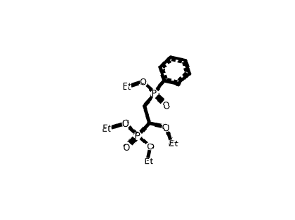 CCOC(CP(=O)(OCC)c1ccccc1)P(=O)(OCC)OCC